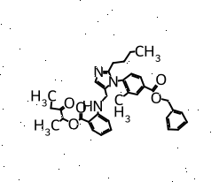 CCCCc1ncc(CNc2ccccc2C(=O)OC(C)C(=O)CC)n1-c1ccc(C(=O)OCc2ccccc2)cc1C